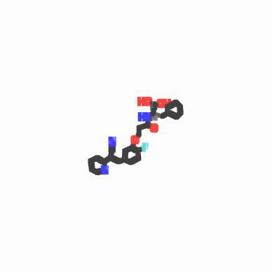 N#CC(=Cc1ccc(F)c(OCCC(=O)N[C@@H](Cc2ccccc2)B(O)O)c1)c1ccccn1